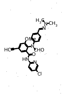 C#Cc1cc(OC)c(N(C=O)c2ccc(C=NN(C)C)cc2)c(C(=O)Nc2ccc(Cl)cn2)c1